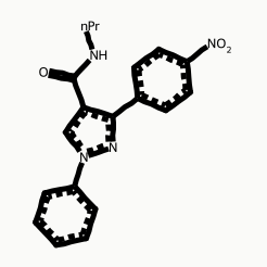 CCCNC(=O)c1cn(-c2ccccc2)nc1-c1ccc([N+](=O)[O-])cc1